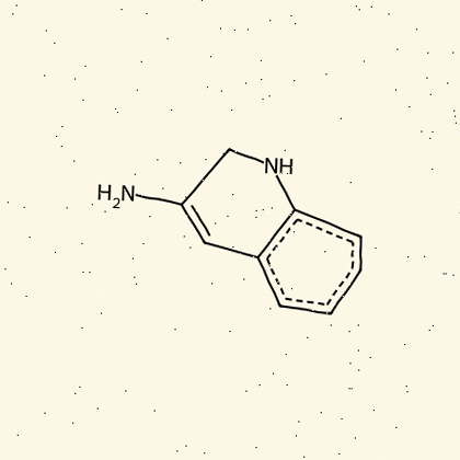 NC1=Cc2ccccc2NC1